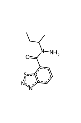 CCC(C)N(N)C(=O)c1cccc2nnsc12